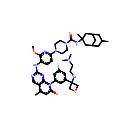 COc1nc(N2CCN(C(=O)NC3(C)CC4CC(C)CC(C4)C3)CC2)ccc1Nc1ncc2c(C)cc(=O)n(-c3cc(F)cc(C4(NCCN(C)C)COC4)c3)c2n1